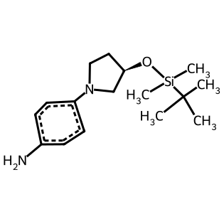 CC(C)(C)[Si](C)(C)O[C@@H]1CCN(c2ccc(N)cc2)C1